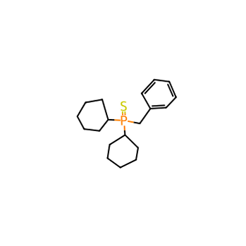 S=P(Cc1ccccc1)(C1CCCCC1)C1CCCCC1